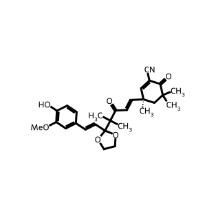 COc1cc(C=CC2(C(C)(C)C(=O)C=C[C@@]3(C)C=C(C#N)C(=O)C(C)(C)C3)OCCO2)ccc1O